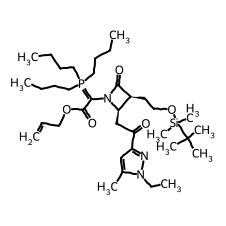 C=CCOC(=O)C(N1C(=O)[C@@H](CCO[Si](C)(C)C(C)(C)C)[C@H]1CC(=O)c1cc(C)n(CC)n1)=P(CCCC)(CCCC)CCCC